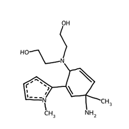 Cn1cccc1C1=CC(C)(N)C=CC1N(CCO)CCO